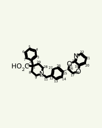 O=C(O)C1(c2ccccc2)CCN(Cc2ccc([C@H]3COc4cccnc4O3)cc2)CC1